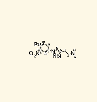 CN(C)CCc1cn(-c2ccc(F)c([N+](=O)[O-])c2)nn1